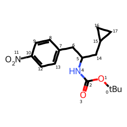 CC(C)(C)OC(=O)NC(Cc1ccc([N+](=O)[O-])cc1)CC1CC1